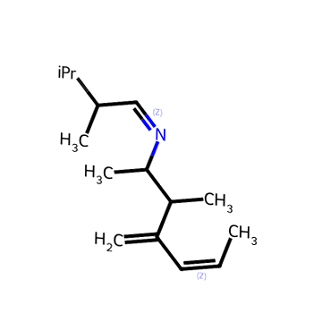 C=C(/C=C\C)C(C)C(C)/N=C\C(C)C(C)C